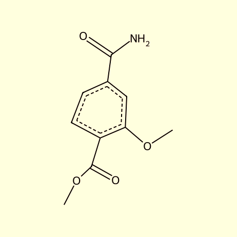 COC(=O)c1ccc(C(N)=O)cc1OC